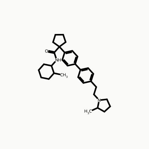 CC1CCCCC1NC(=O)C1(c2ccc(-c3ccc(CCN4CCCC4C)cc3)cc2)CCCC1